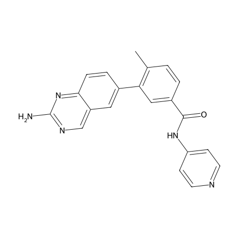 Cc1ccc(C(=O)Nc2ccncc2)cc1-c1ccc2nc(N)ncc2c1